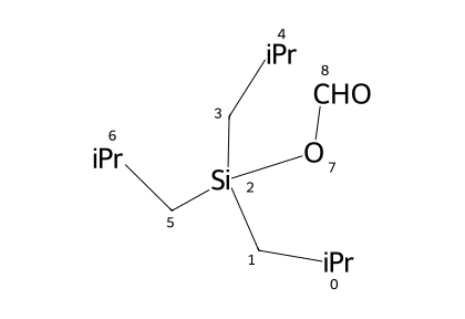 CC(C)C[Si](CC(C)C)(CC(C)C)OC=O